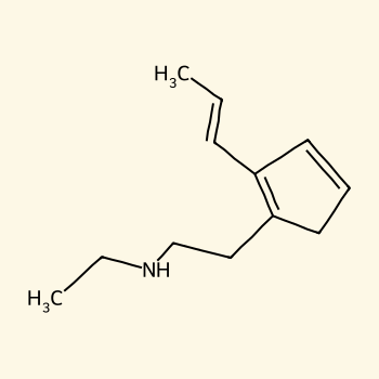 C/C=C/C1=C(CCNCC)CC=C1